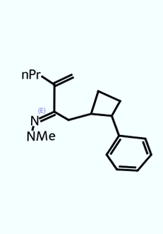 C=C(CCC)/C(CC1CCC1c1ccccc1)=N/NC